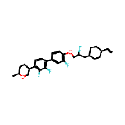 C=CC1CCC(CC(F)COc2ccc(-c3ccc(C4CCC(C)OC4)c(F)c3F)cc2F)CC1